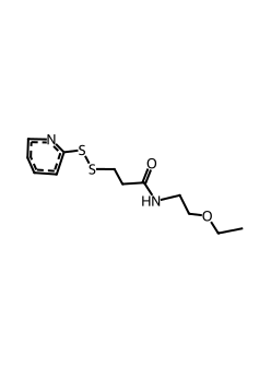 CCOCCNC(=O)CCSSc1ccccn1